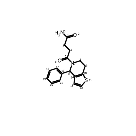 NC(=O)CCC(=O)N1CCc2sccc2C1c1ccccc1